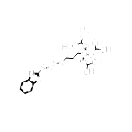 CC(C)O[Si](CCCSSSSc1nc2ccccc2s1)(OC(C)C)OC(C)C